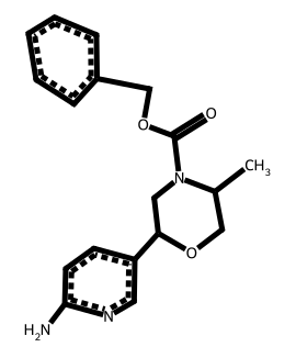 CC1COC(c2ccc(N)nc2)CN1C(=O)OCc1ccccc1